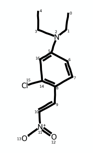 CCN(CC)c1ccc(C=C[N+](=O)[O-])c(Cl)c1